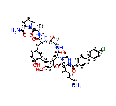 CC[C@H](NC(=O)[C@@H]1Cc2ccc(O)c(c2)-c2cc(ccc2O)[C@H](N(C)C(=O)[C@H](CCCCN)NC(=O)c2ccc(-c3ccc(Cl)cc3)cc2)C(=O)N[C@@H](C)C(=O)N1)C(=O)N1CCC[C@H]1C(N)=O